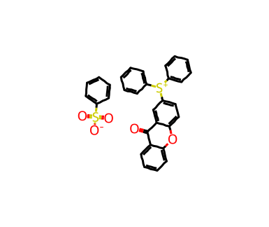 O=S(=O)([O-])c1ccccc1.O=c1c2ccccc2oc2ccc([S+](c3ccccc3)c3ccccc3)cc12